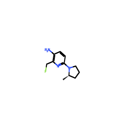 C[C@H]1CCCN1c1ccc(N)c(CF)n1